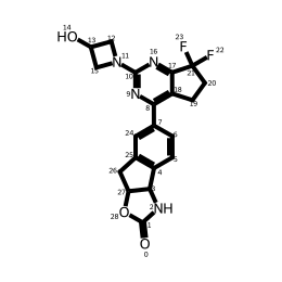 O=C1NC2c3ccc(-c4nc(N5CC(O)C5)nc5c4CCC5(F)F)cc3CC2O1